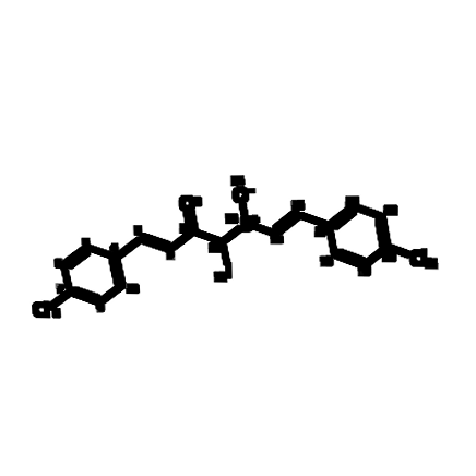 O=C(C=Cc1ccc(Cl)cc1)C(I)[S+]([O-])C=Cc1ccc(Cl)cc1